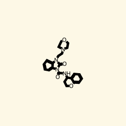 O=C(NC1CCOc2ccccc21)n1c(=O)n(CCN2CCOCC2)c2ccccc21